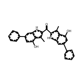 Cc1c(C(=O)c2[nH]c3cc(-c4ccccc4)cc(O)c3c2C)[nH]c2cc(-c3ccccc3)cc(O)c12